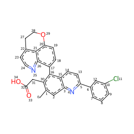 Cc1cc2nc(-c3cccc(Cl)c3)ccc2c(-c2ccc3c4c(ccnc24)CCO3)c1CC(=O)O